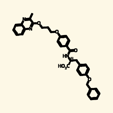 Cc1nc2ccccc2nc1OCCCOc1ccc(C(=O)N[C@@H](Cc2ccc(OCc3ccccc3)cc2)C(=O)O)cc1